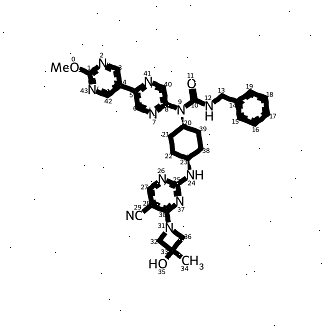 COc1ncc(-c2cnc(N(C(=O)NCc3ccccc3)[C@H]3CC[C@H](Nc4ncc(C#N)c(N5CC(C)(O)C5)n4)CC3)cn2)cn1